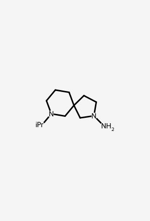 CC(C)N1CCCC2(CCN(N)C2)C1